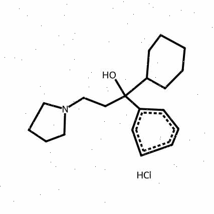 Cl.OC(CCN1CCCC1)(c1ccccc1)C1CCCCC1